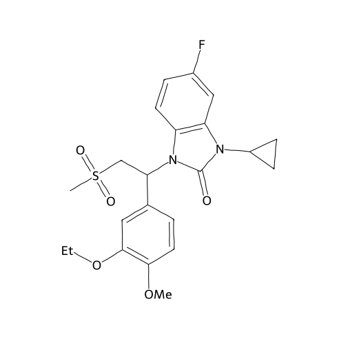 CCOc1cc(C(CS(C)(=O)=O)n2c(=O)n(C3CC3)c3cc(F)ccc32)ccc1OC